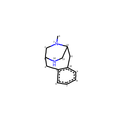 CN1CC2Cc3ccccc3CC1CN2